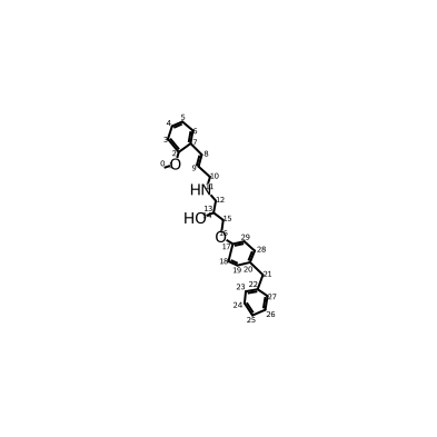 COc1ccccc1C=CCNCC(O)COc1ccc(Cc2ccccc2)cc1